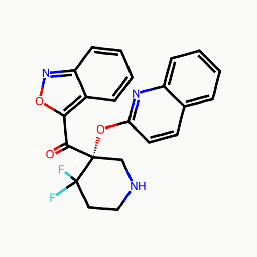 O=C(c1onc2ccccc12)[C@@]1(Oc2ccc3ccccc3n2)CNCCC1(F)F